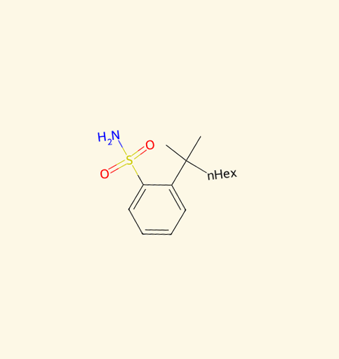 CCCCCCC(C)(C)c1ccccc1S(N)(=O)=O